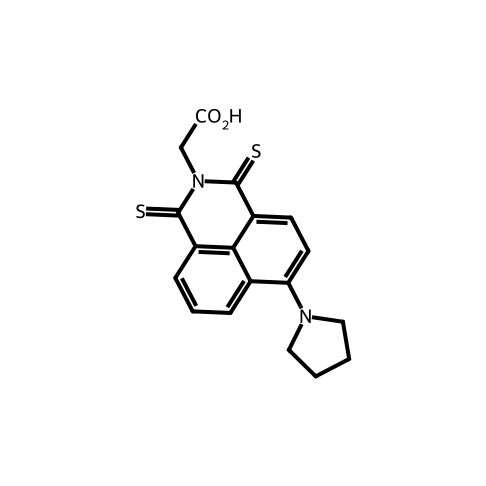 O=C(O)CN1C(=S)c2cccc3c(N4CCCC4)ccc(c23)C1=S